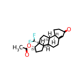 CC(=O)O[C@H]1CC[C@H]2[C@@H]3CCC4=CC(=O)CC[C@@H]4[C@H]3CC[C@]12C(F)F